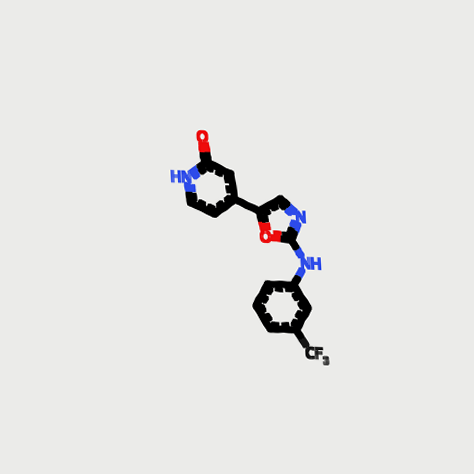 O=c1cc(-c2cnc(Nc3cccc(C(F)(F)F)c3)o2)cc[nH]1